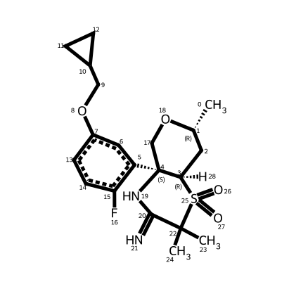 C[C@@H]1C[C@@H]2[C@](c3cc(OCC4CC4)ccc3F)(CO1)NC(=N)C(C)(C)S2(=O)=O